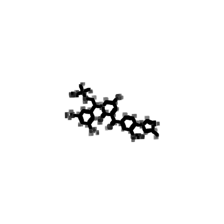 COc1cc(C(=O)c2cc(Cl)cn(C(CO[Si](C)(C)C(C)(C)C)c3cc(C(F)(F)F)cc(C(F)(F)F)c3)c2=O)ccc1-n1cnc(C)c1